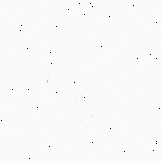 COCCOCCOc1cc(C(=O)Nc2nc3c(OC)ccc(N4CCOCC4)c3s2)ccn1